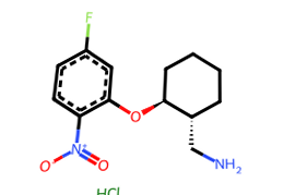 Cl.NC[C@H]1CCCC[C@@H]1Oc1cc(F)ccc1[N+](=O)[O-]